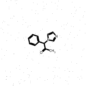 CC(=O)C(c1ccccc1)n1ccnc1